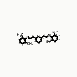 Cc1cccc(C)c1N=CCc1cccc(CC=Nc2c(C(C)C)cccc2C(C)C)n1